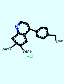 CNCc1ccc(-c2ccnc3cc(OC)c(OC)cc23)cc1.Cl